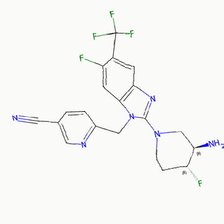 N#Cc1ccc(Cn2c(N3CC[C@@H](F)[C@H](N)C3)nc3cc(C(F)(F)F)c(F)cc32)nc1